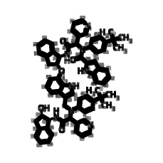 CC(C)(C)c1ccc(N(Cc2c[nH]c3c(O[C@H]4Cc5ccccc5[C@H]4NC(=O)C(c4cccnc4)N(C(=O)c4cc5ccccc5[nH]4)c4ccc(C(C)(C)C)cc4)cccc23)C(C(=O)N[C@@H]2c3ccccc3C[C@@H]2O)c2cccnc2)cc1